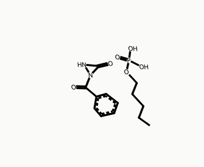 CCCCCOP(=O)(O)O.O=C1NN1C(=O)c1ccccc1